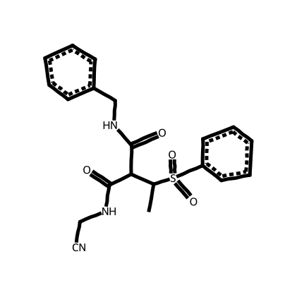 CC(C(C(=O)NCC#N)C(=O)NCc1ccccc1)S(=O)(=O)c1ccccc1